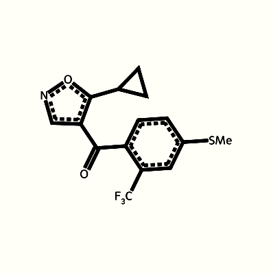 CSc1ccc(C(=O)c2cnoc2C2CC2)c(C(F)(F)F)c1